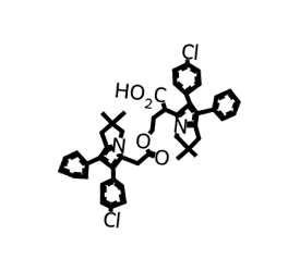 CC1(C)Cc2c(-c3ccccc3)c(-c3ccc(Cl)cc3)c(CC(=O)OCCC(C(=O)O)c3c(-c4ccc(Cl)cc4)c(-c4ccccc4)c4n3CC(C)(C)C4)n2C1